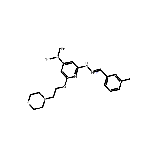 CCCN(CCC)c1cc(N/N=C/c2cccc(C)c2)nc(OCCN2CCOCC2)c1